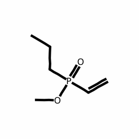 C=CP(=O)(CCC)OC